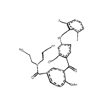 COc1ccc(C(=O)N(CCO)CCO)cc1C(=O)c1ccc(Nc2c(F)cccc2F)cc1Cl